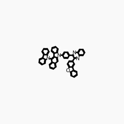 c1ccc2c(-n3c4ccccc4c4ccccc43)c3c4ccccc4n(-c4ccc(-c5nc6ccccc6nc5-c5ccc6oc7ccccc7c6c5)cc4)c3cc2c1